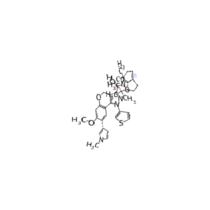 COc1cc2c(cc1-c1ccn(C)c1)-c1c(c(C(=O)N3CCC/C(C(=O)OC(C)(C)C)=C/CC3(C)C)nn1-c1ccsc1)CO2